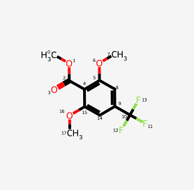 COC(=O)c1c(OC)cc(C(F)(F)F)cc1OC